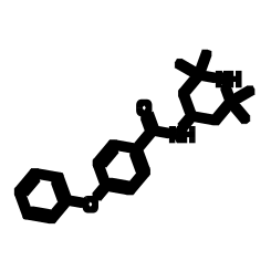 CC1(C)CC(NC(=O)c2ccc(Oc3ccccc3)cc2)CC(C)(C)N1